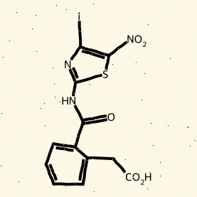 O=C(O)Cc1ccccc1C(=O)Nc1nc(I)c([N+](=O)[O-])s1